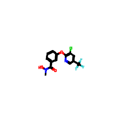 CN(O)C(=O)c1cccc(Oc2ncc(C(F)(F)F)cc2Cl)c1